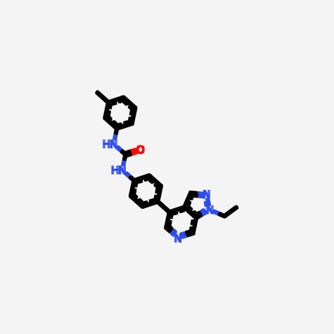 CCn1ncc2c(-c3ccc(NC(=O)Nc4cccc(C)c4)cc3)cncc21